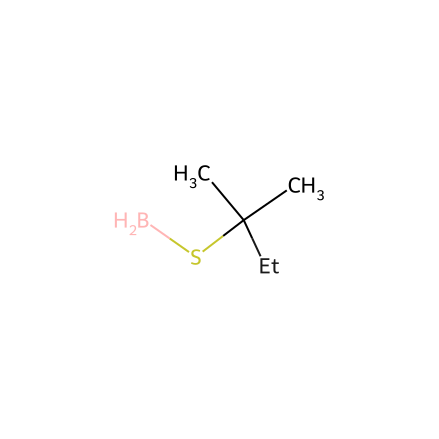 BSC(C)(C)CC